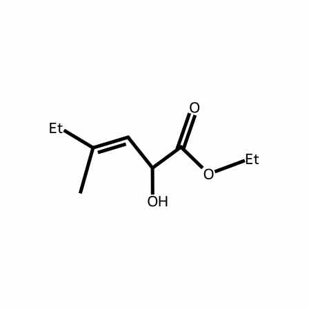 CCOC(=O)C(O)C=C(C)CC